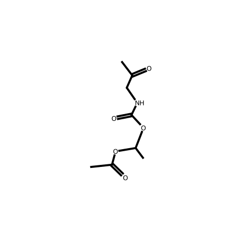 CC(=O)CNC(=O)OC(C)OC(C)=O